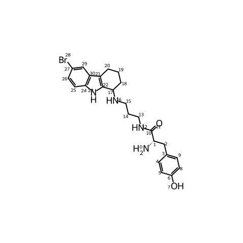 N[C@@H](Cc1ccc(O)cc1)C(=O)NCCCNC1CCCc2c1[nH]c1ccc(Br)cc21